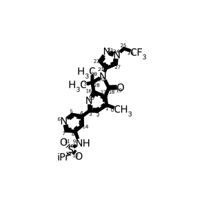 Cc1cc(-c2cncc(NS(=O)(=O)C(C)C)c2)nc2c1C(=O)N(c1cnn(CC(F)(F)F)c1)C2(C)C